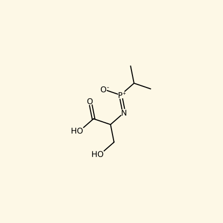 CC(C)/[P+]([O-])=N/C(CO)C(=O)O